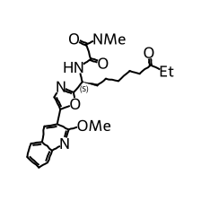 CCC(=O)CCCCC[C@H](NC(=O)C(=O)NC)c1ncc(-c2cc3ccccc3nc2OC)o1